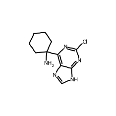 NC1(c2nc(Cl)nc3[nH]cnc23)CCCCC1